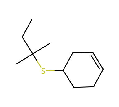 CCC(C)(C)SC1CC=CCC1